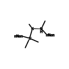 CCCCCCCCC[SiH](C)N(C)[Si](C)(C)CCCCCCCCC